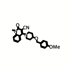 COc1ccc(COC2CCN(c3c(C#N)c(=O)n(C)c4ccccc34)CC2)cc1